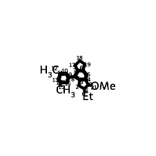 CCC1Cc2c(cc3c(c2-c2cc(C)cc(C)c2)CCC3)C1OC